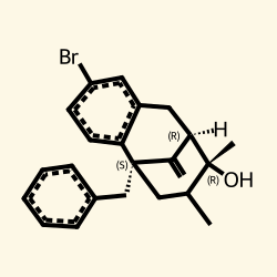 C=C1[C@H]2Cc3cc(Br)ccc3[C@]1(Cc1ccccc1)CC(C)[C@@]2(C)O